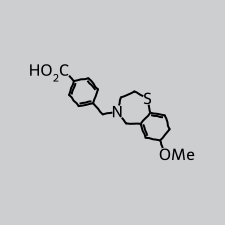 COC1C=C2CN(Cc3ccc(C(=O)O)cc3)CCSC2=CC1